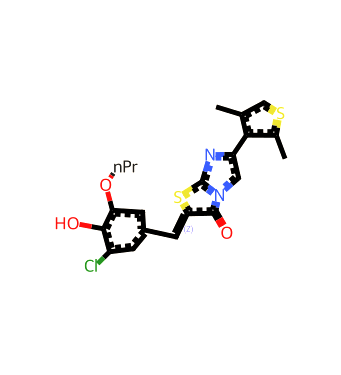 CCCOc1cc(/C=c2\sc3nc(-c4c(C)csc4C)cn3c2=O)cc(Cl)c1O